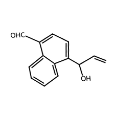 C=CC(O)c1ccc(C=O)c2ccccc12